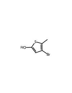 Cc1sc(O)cc1Br